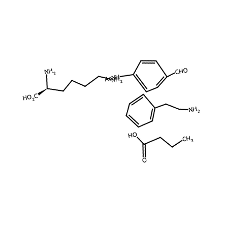 CC(=O)Nc1ccc(C=O)cc1.CCCC(=O)O.NCCCC[C@H](N)C(=O)O.NCCc1ccccc1